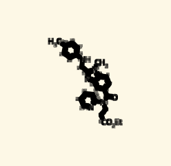 CCOC(=O)CCN(C(=O)c1ccc2c(c1)nc(CNc1ccc(C)cc1)n2C)c1ccccn1